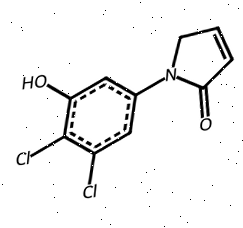 O=C1C=CCN1c1cc(O)c(Cl)c(Cl)c1